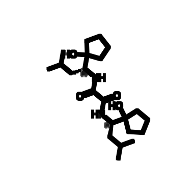 CC(C)C[C@@H](NC(=O)C(=O)N[C@H](CC(C)C)C1(O)CCCC1)C1(O)CCCC1